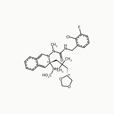 CN(C(=O)NCc1cccc(F)c1Cl)N1C=c2ccccc2=C[C@@]1(CC(C)(C)C[C@@H]1COCO1)NC(=O)O